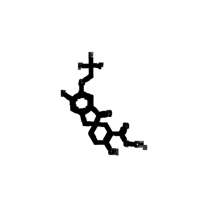 COC(=O)C1=C(O)CCC2(C1)Cc1cc(F)c(OCC(F)(F)F)cc1C2=O